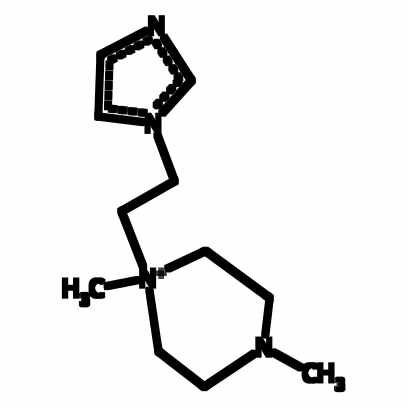 CN1CC[N+](C)(CCn2ccnc2)CC1